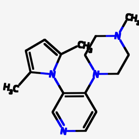 Cc1ccc(C)n1-c1cnccc1N1CCN(C)CC1